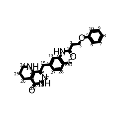 O=C(CCOc1ccccc1)Nc1cc(Cc2n[nH]c(=O)c3c2NCCC3)ccc1F